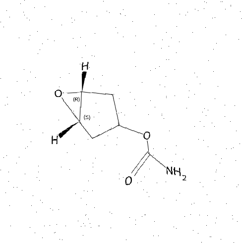 NC(=O)OC1C[C@@H]2O[C@@H]2C1